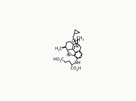 C=C1CC[C@@]2(O)[C@H]3Cc4ccc(N[C@@H](CCC(=O)O)C(=O)O)c5c4[C@@]2(CC[N+]3(C)CC2CC2)[C@H]1O5